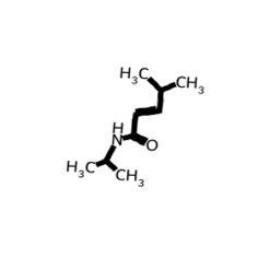 CC(C)/C=C/C(=O)NC(C)C